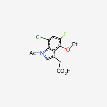 CCOc1c(F)cc(Cl)c2c1c(CC(=O)O)cn2C(C)=O